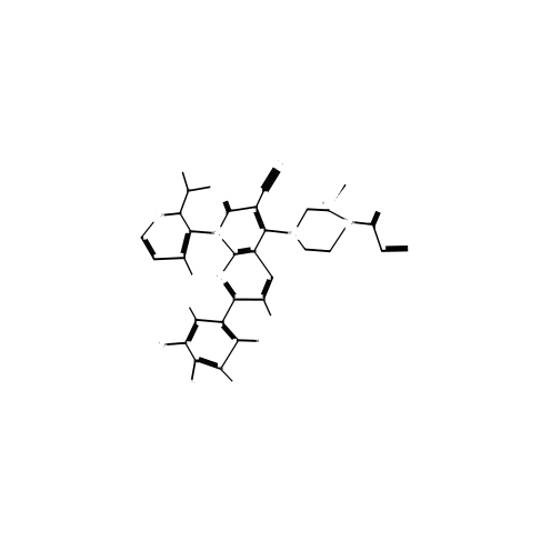 C=CC(=O)N1CCN(c2c(C#N)c(=O)n(C3=C(C)C=CNC3C(C)C)c3nc(-c4c(F)c(N)c(Cl)c(Cl)c4F)c(Cl)cc23)C[C@H]1C